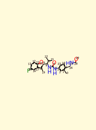 Cc1cc(NC(=O)NC(c2oc3ccc(F)cc3c2C)C(C)C)ccc1CNC=O